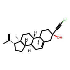 C=C(C)[C@H]1CC[C@H]2[C@@H]3CC=C4C[C@@](O)(C#CCl)CC[C@@H]4[C@H]3CC[C@]12C